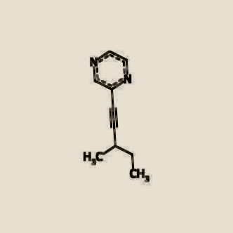 CCC(C)C#Cc1cnccn1